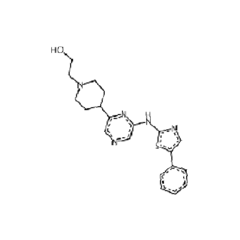 OCCN1CCC(c2cncc(Nc3ncc(-c4ccccc4)s3)n2)CC1